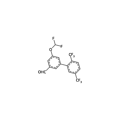 O=Cc1cc(OC(F)F)cc(-c2cc(C(F)(F)F)ccc2C(F)(F)F)c1